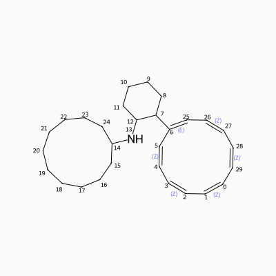 C1=C\C=C/C=C\C(C2CCCCC2NC2CCCCCCCCCC2)=C/C=C\C=C/1